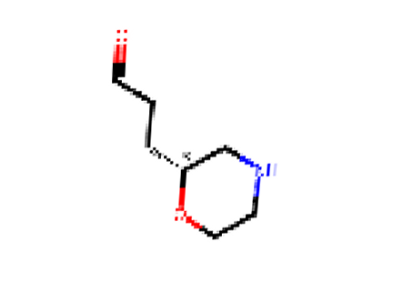 O=CCC[C@@H]1CNCCO1